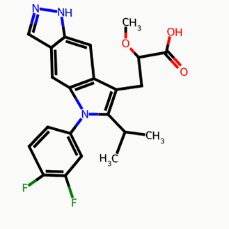 COC(Cc1c(C(C)C)n(-c2ccc(F)c(F)c2)c2cc3cn[nH]c3cc12)C(=O)O